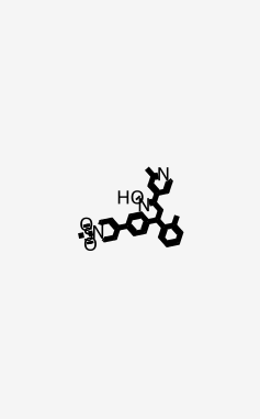 Cc1cc(C(CC(c2ccc(C3=CCN(S(C)(=O)=O)CC3)cc2)c2ccccc2C)=NO)ccn1